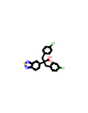 O=C(O)C(Cc1ccc(Cl)cc1)(Cc1ccc(Cl)cc1)c1ccc2nsnc2c1